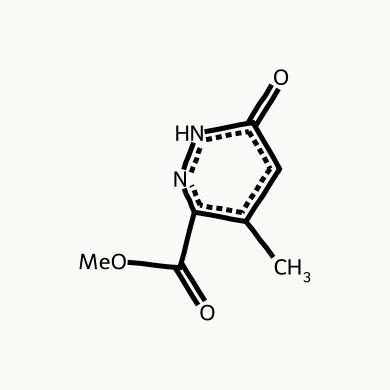 COC(=O)c1n[nH]c(=O)cc1C